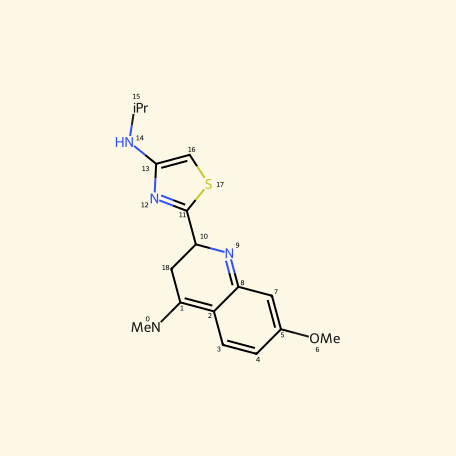 CNC1=c2ccc(OC)cc2=NC(c2nc(NC(C)C)cs2)C1